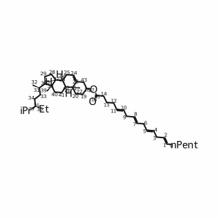 CCCCCC=CCC=CCC=CCC=CCCCC(=O)OC1CC[C@@]2(C)C(=CC[C@H]3[C@@H]4CC[C@H]([C@H](C)CC[C@@H](CC)C(C)C)[C@@]4(C)CC[C@@H]32)C1